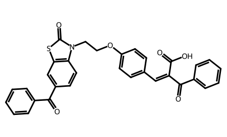 O=C(O)/C(=C\c1ccc(OCCn2c(=O)sc3cc(C(=O)c4ccccc4)ccc32)cc1)C(=O)c1ccccc1